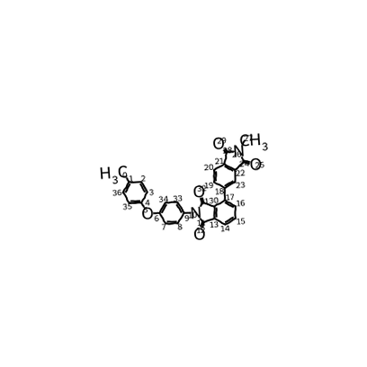 Cc1ccc(Oc2ccc(N3C(=O)c4cccc(-c5ccc6c(c5)C(=O)N(C)C6=O)c4C3=O)cc2)cc1